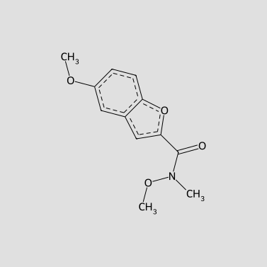 COc1ccc2oc(C(=O)N(C)OC)cc2c1